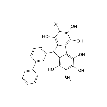 Bc1c(O)c(O)c2c3c(O)c(O)c(Br)c(O)c3n(-c3cccc(-c4ccccc4)c3)c2c1O